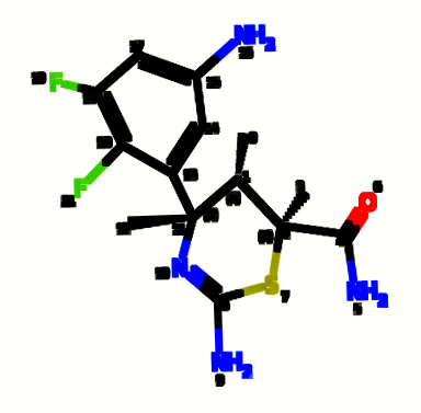 C[C@@H]1[C@@](C)(C(N)=O)SC(N)=N[C@]1(C)c1cc(N)cc(F)c1F